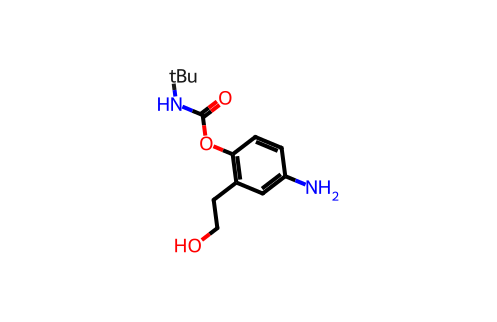 CC(C)(C)NC(=O)Oc1ccc(N)cc1CCO